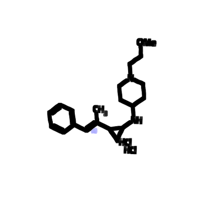 COCCN1CCC(NC2CC2/C(C)=C/c2ccccc2)CC1.Cl.Cl